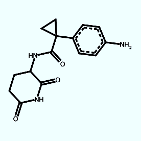 Nc1ccc(C2(C(=O)NC3CCC(=O)NC3=O)CC2)cc1